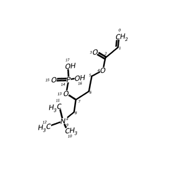 C=CC(=O)OCCC(C[N+](C)(C)C)OP(=O)(O)O